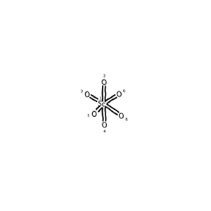 [O]=[Sc](=[O])(=[O])(=[O])(=[O])=[O]